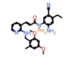 CCc1cc(N)c(N(P)C(=O)/C=C/c2cccnc2NCc2c(C)cc(OC)cc2OC)cc1C#N